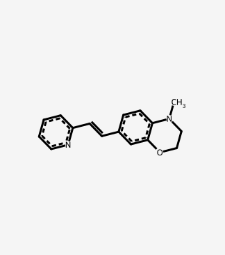 CN1CCOc2cc(/C=C/c3ccccn3)ccc21